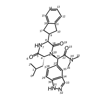 CC(C)C[C@@H]1C(=O)NC(C2Cc3ccccc3C2)C(=O)N1[C@@H](C(=O)N(C)C)c1ccc2[nH]ncc2c1